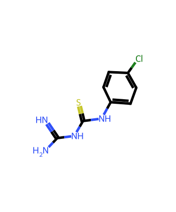 N=C(N)NC(=S)Nc1ccc(Cl)cc1